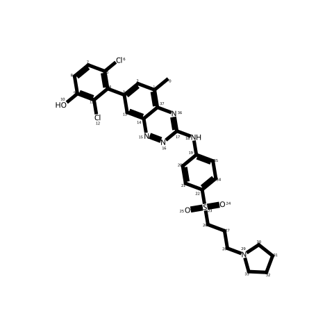 Cc1cc(-c2c(Cl)ccc(O)c2Cl)cc2nnc(Nc3ccc(S(=O)(=O)CCCN4CCCC4)cc3)nc12